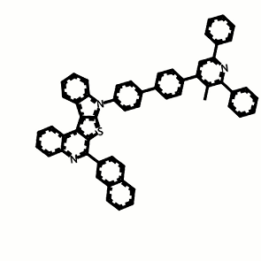 Cc1c(-c2ccc(-c3ccc(-n4c5ccccc5c5c6c(sc54)c(-c4ccc5ccccc5c4)nc4ccccc46)cc3)cc2)cc(-c2ccccc2)nc1-c1ccccc1